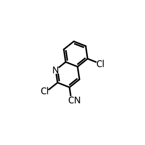 N#Cc1cc2c(Cl)cccc2nc1Cl